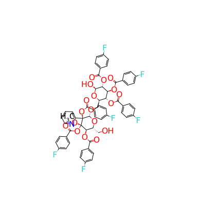 CO[C@]1(OC(=O)c2ccc(F)cc2)[C@H](OC(=O)c2ccc(F)cc2)[C@@H](CO)O[C@@H](OC[C@H]2O[C@@H](O)[C@H](OC(=O)c3ccc(F)cc3)[C@@H](OC(=O)c3ccc(F)cc3)[C@@H]2OC(=O)c2ccc(F)cc2)[C@@]1(OC(=O)c1ccc(F)cc1)c1ccccn1